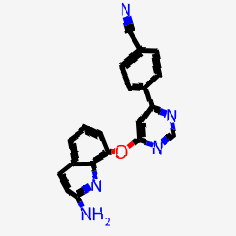 N#Cc1ccc(-c2cc(Oc3cccc4ccc(N)nc34)ncn2)cc1